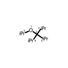 CC(C)OC(C(C)C)(C(C)C)C(C)C